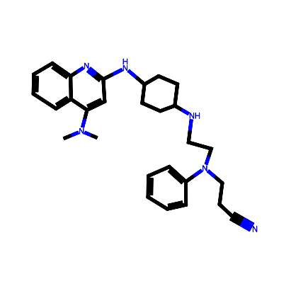 CN(C)c1cc(NC2CCC(NCCN(CCC#N)c3ccccc3)CC2)nc2ccccc12